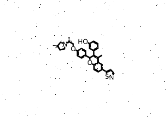 CC1=C(c2cccc(O)c2)C(c2ccc(OC[C@H](C)N3CC[C@@H](C)C3)cc2)Oc2ccc(-c3ccns3)cc21